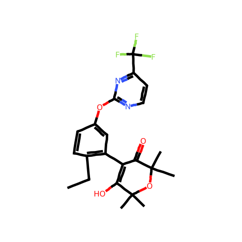 CCc1ccc(Oc2nccc(C(F)(F)F)n2)cc1C1=C(O)C(C)(C)OC(C)(C)C1=O